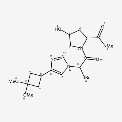 CNC(=O)[C@H]1CC(O)CN1C(=O)C(n1cc(C2CC(OC)(OC)C2)nn1)C(C)(C)C